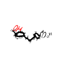 O=C(O)c1ccc(CCCc2ccc(CO)cc2)cc1